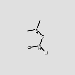 C[SiH](C)O[SiH](Cl)Cl